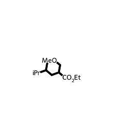 CCOC(=O)C(COC)CC(C)C(C)C